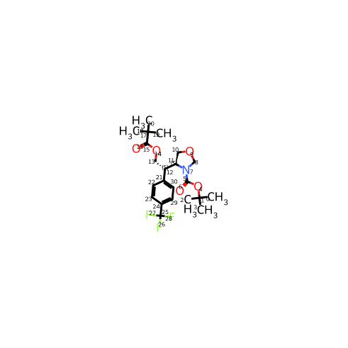 CC(C)(C)OC(=O)N1COC[C@@H]1[C@@H](COC(=O)C(C)(C)C)c1ccc(C(F)(F)F)cc1